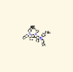 CC(C)(C)c1ccc(N(c2ccc([Si](C)(C)C)cc2)c2cc3c(c4ccccc24)c2c4ccccc4c(N(c4ccc(C(C)(C)C)cc4)c4ccc([Si](C)(C)C)cc4)cc2n3-c2cccc(-c3ccccc3)c2)cc1